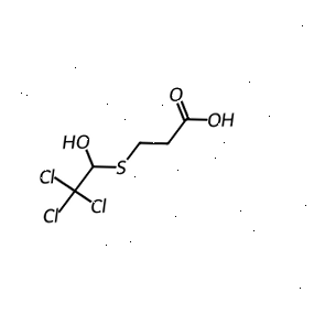 O=C(O)CCSC(O)C(Cl)(Cl)Cl